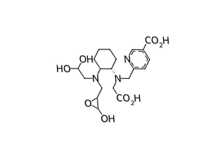 O=C(O)CN(Cc1ccc(C(=O)O)cn1)[C@H]1CCCCC1N(CC(O)O)CC1OC1O